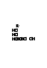 Cl.Cl.Cl.Cl.Cl.Cl.[K]